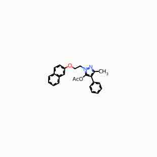 CC(=O)Oc1c(-c2ccccc2)c(C)nn1CCOc1ccc2ccccc2c1